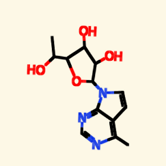 Cc1ncnc2c1ccn2C1OC(C(C)O)C(O)C1O